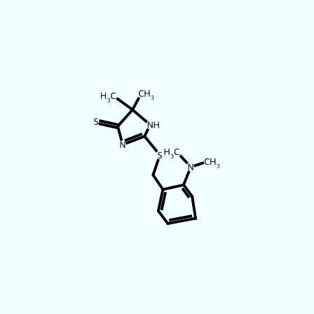 CN(C)c1ccccc1CSC1=NC(=S)C(C)(C)N1